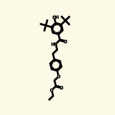 CCOC(=O)COc1ccc(CCNC(=O)c2cc(C(C)(C)C)c(O)c(C(C)(C)C)c2)cc1